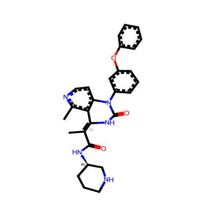 C/C(C(=O)N[C@@H]1CCCNC1)=C1/NC(=O)N(c2cccc(Oc3ccccc3)c2)c2ccnc(C)c21